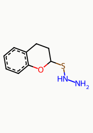 NNSC1CCc2ccccc2O1